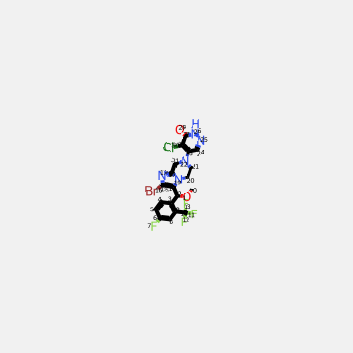 COC(c1ccc(F)cc1C(F)(F)F)c1c(Br)nc2n1CCN(c1cn[nH]c(=O)c1Cl)C2